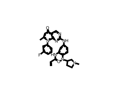 C=CC(=O)Nc1cc(Nc2ncc3c(=O)cc(C)n(-c4cccc(F)c4)c3n2)ccc1N(C)C1CCN(C)C1